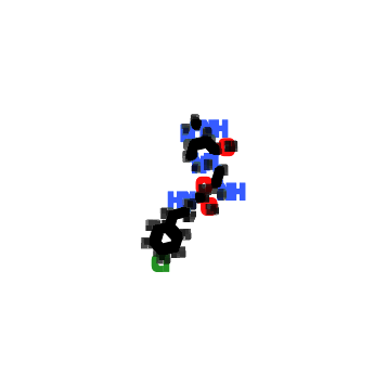 N=C(Cn1ncc2nc[nH]c2c1=O)OC(=O)NCCc1ccc(Cl)cc1